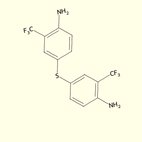 Nc1ccc(Sc2ccc(N)c(C(F)(F)F)c2)cc1C(F)(F)F